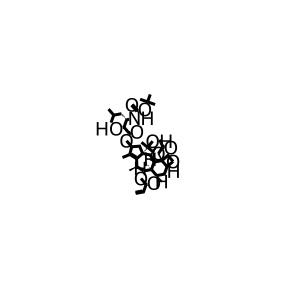 C=CC1O[C@H]2C[C@H]3OC[C@@]3(OC(C)=O)[C@H]3[C@H](C)[C@]4(C(C)(C)O)CC(OC(=O)C(O)[C@H](CC(C)C)NC(=O)OC(C)(C)C)C(C)=C4[C@H](C)[C@H](O1)[C@]23C